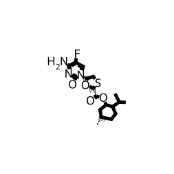 CC(C)C1CC[C@H](C)CC1OC(=O)[C@@H]1O[C@@H](n2cc(F)c(N)nc2=O)CS1